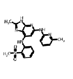 Cc1cccc(Nc2cc(Nc3ccccc3S(C)(=O)=O)c3nc(C)[nH]c3n2)n1